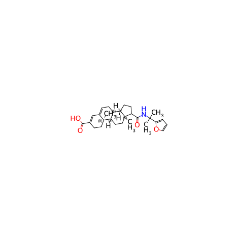 CC(C)(NC(=O)C1CC[C@H]2[C@@H]3CC=C4C=C(C(=O)O)CC[C@]4(C)[C@H]3CC[C@]12C)c1ccco1